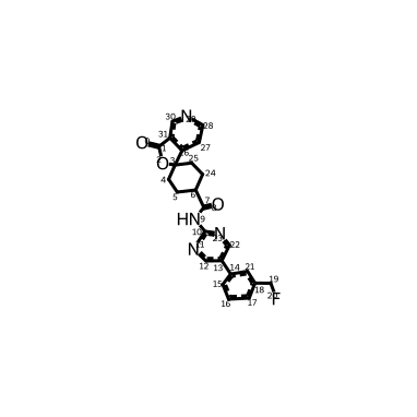 O=C1OC2(CCC(C(=O)Nc3ncc(-c4cccc(CF)c4)cn3)CC2)c2ccncc21